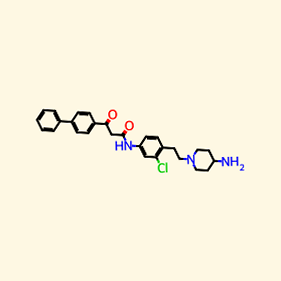 NC1CCN(CCc2ccc(NC(=O)CC(=O)c3ccc(-c4ccccc4)cc3)cc2Cl)CC1